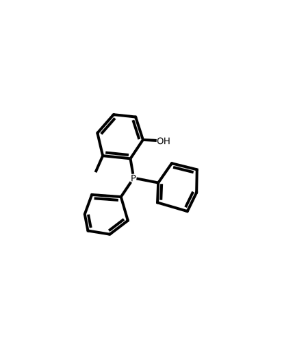 Cc1cccc(O)c1P(c1ccccc1)c1ccccc1